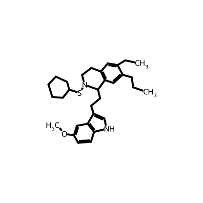 CCCc1cc2c(cc1CC)CCN(SC1CCCCC1)C2CCc1c[nH]c2ccc(OC)cc12